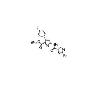 CC(C)(C)OC(=O)n1nc(NC(=O)c2cnc(Br)s2)cc1-c1ccc(F)cc1